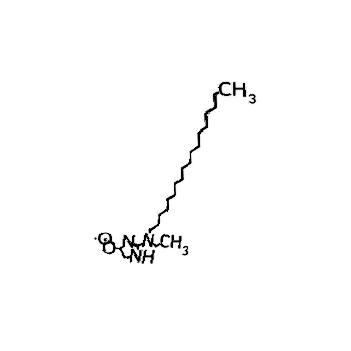 CCCCCCCCCCCCCCCCCCN(CC)C1=NC(O[O])CN1